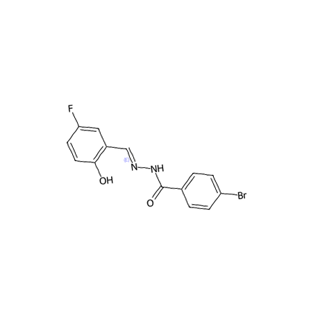 O=C(N/N=C/c1cc(F)ccc1O)c1ccc(Br)cc1